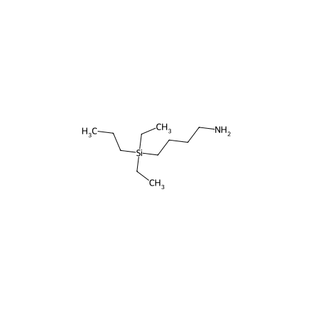 CCC[Si](CC)(CC)CCCCN